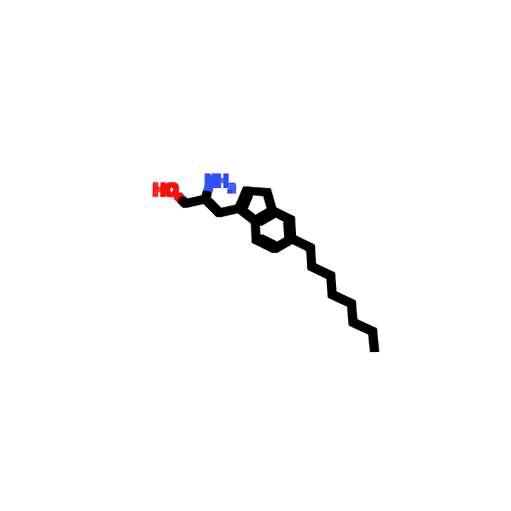 CCCCCCCCc1ccc2c(c1)CC=C2CC(N)CO